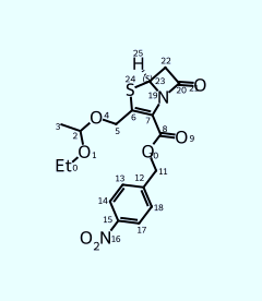 CCOC(C)OCC1=C(C(=O)OCc2ccc([N+](=O)[O-])cc2)N2C(=O)C[C@@H]2S1